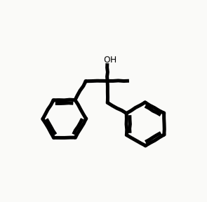 CC(O)(Cc1ccccc1)Cc1ccccc1